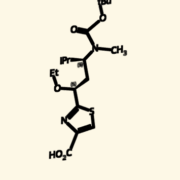 CCO[C@@H](C[C@@H](C(C)C)N(C)C(=O)OC(C)(C)C)c1nc(C(=O)O)cs1